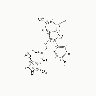 O=C(CCc1c(-c2ccc(F)cc2)[nH]c2c(F)cc(Cl)cc12)N[C@@H]1C(=O)NC[C@H]1O